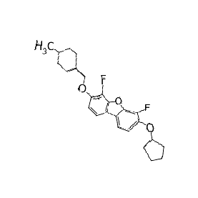 CC1CCC(COc2ccc3c(oc4c(F)c(OC5CCCC5)ccc43)c2F)CC1